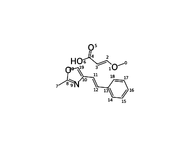 COC=CC(=O)O.Cc1nc(C=Cc2ccccc2)co1